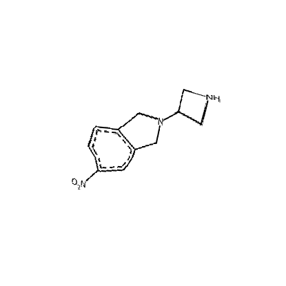 O=[N+]([O-])c1ccc2c(c1)CN(C1CNC1)C2